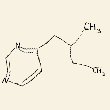 CCC(C)Cc1ccncn1